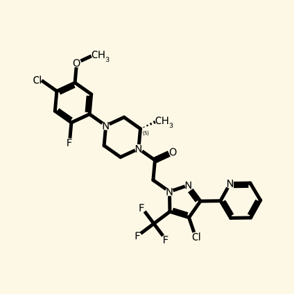 COc1cc(N2CCN(C(=O)Cn3nc(-c4ccccn4)c(Cl)c3C(F)(F)F)[C@@H](C)C2)c(F)cc1Cl